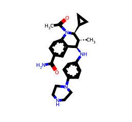 CC(=O)N1c2ccc(C(N)=O)cc2[C@H](Nc2ccc(N3CCNCC3)cc2)[C@@H](C)[C@@H]1C1CC1